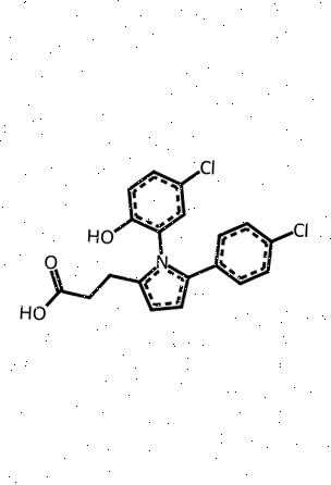 O=C(O)CCc1ccc(-c2ccc(Cl)cc2)n1-c1cc(Cl)ccc1O